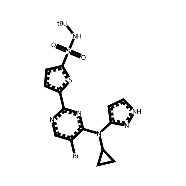 CC(C)(C)NS(=O)(=O)c1ccc(-c2ncc(Br)c(N(c3cc[nH]n3)C3CC3)n2)s1